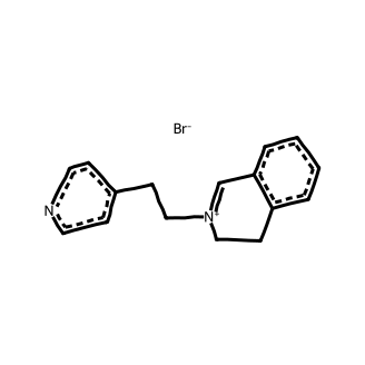 C1=[N+](CCc2ccncc2)CCc2ccccc21.[Br-]